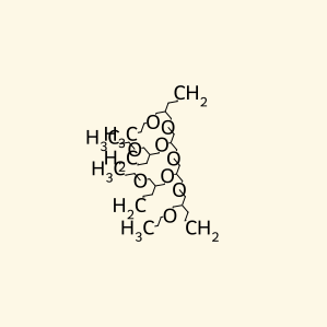 C=CCC(COCCC)COCC(COCC(COCC(CC=C)COCCC)OCC(CC=C)COCCC)OCC(CC=C)COCCC